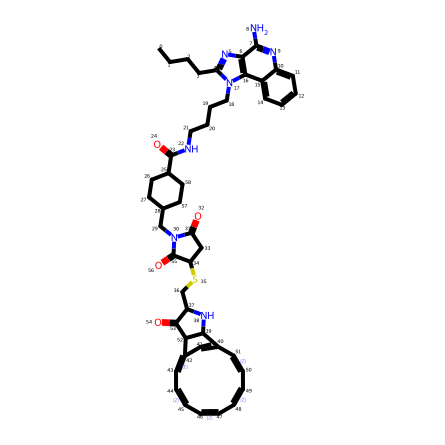 CCCCc1nc2c(N)nc3ccccc3c2n1CCCCNC(=O)C1CCC(CN2C(=O)CC(SCC3NC4C5=CC(=C/C=C\C=C/C=C\C=C/5)\C4C3=O)C2=O)CC1